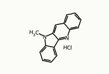 Cl.Cn1c2ccccc2c2nc3ccccc3cc21